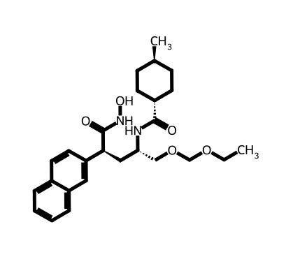 CCOCOC[C@H](C[C@H](C(=O)NO)c1ccc2ccccc2c1)NC(=O)[C@H]1CC[C@H](C)CC1